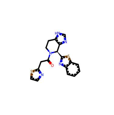 O=C(Cc1nccs1)N1CCc2[nH]cnc2[C@H]1c1nc2ccccc2s1